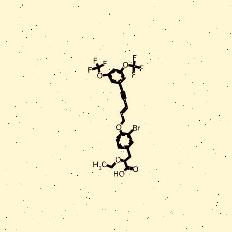 CCOC(Cc1ccc(OCC=CC#Cc2cc(OC(F)(F)F)cc(OC(F)(F)F)c2)c(Br)c1)C(=O)O